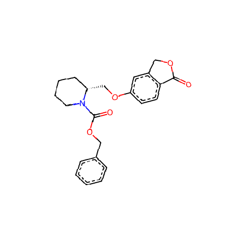 O=C1OCc2cc(OC[C@H]3CCCCN3C(=O)OCc3ccccc3)ccc21